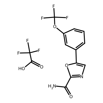 NC(=O)c1ncc(-c2cccc(OC(F)(F)F)c2)o1.O=C(O)C(F)(F)F